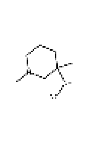 CN1CCCC(C)(NC#N)C1